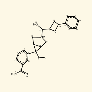 CCC1(c2cccc(C(N)=O)c2)C2CN(C(O)C3CC(c4ccccc4)C3)CC21